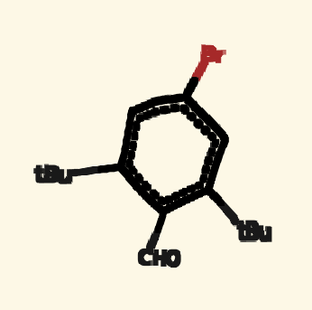 CC(C)(C)c1cc(Br)cc(C(C)(C)C)c1C=O